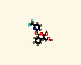 COC=C(C(=O)OC)c1ccccc1COc1cccc(C(F)F)n1